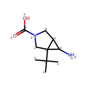 CC(C)(C)C12CN(C(=O)O)CC1C2N